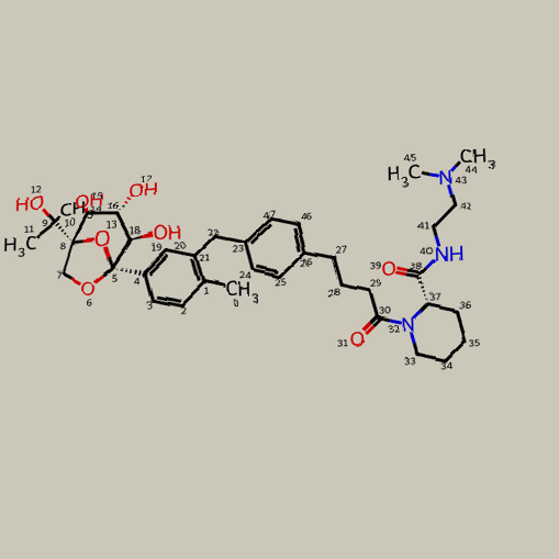 Cc1ccc([C@]23OC[C@](C(C)(C)O)(O2)[C@@H](O)[C@H](O)[C@H]3O)cc1Cc1ccc(CCCC(=O)N2CCCC[C@H]2C(=O)NCCN(C)C)cc1